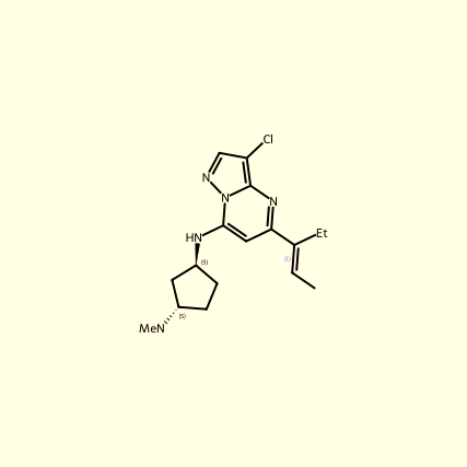 C/C=C(\CC)c1cc(N[C@H]2CC[C@H](NC)C2)n2ncc(Cl)c2n1